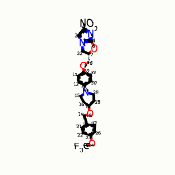 O=[N+]([O-])c1cn2c(n1)O[C@H](COc1ccc(N3CCC(OCc4ccc(OC(F)(F)F)cc4)CC3)cc1)C2